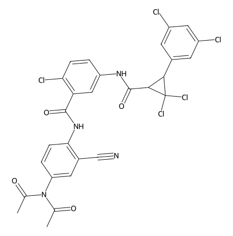 CC(=O)N(C(C)=O)c1ccc(NC(=O)c2cc(NC(=O)C3C(c4cc(Cl)cc(Cl)c4)C3(Cl)Cl)ccc2Cl)c(C#N)c1